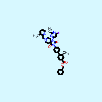 Cc1nc(I)cc(N2C(=O)N(c3ccc(-c4ccc(C(=O)OCc5ccccc5)cc4C)cc3)C(=O)C23CCN(Cc2ncccc2C)CC3)n1